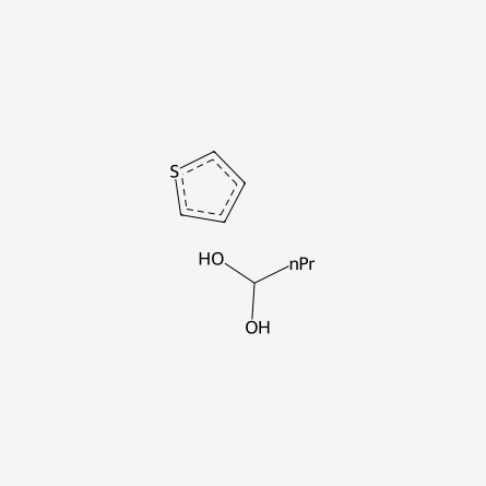 CCCC(O)O.c1ccsc1